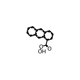 O=C(OO)c1cccc2cc3ccccc3cc12